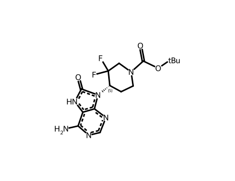 CC(C)(C)OC(=O)N1CC[C@H](n2c(=O)[nH]c3c(N)ncnc32)C(F)(F)C1